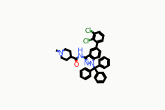 CN1CCC(C(=O)Nc2nn(C(c3ccccc3)(c3ccccc3)c3ccccc3)c3ccc(-c4cccc(Cl)c4Cl)cc23)CC1